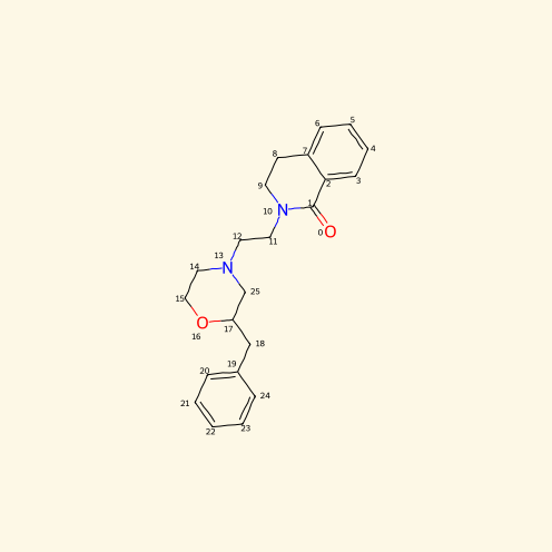 O=C1c2ccccc2CCN1CCN1CCOC(Cc2ccccc2)C1